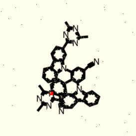 Cc1nc(C)nc(-c2ccc3c4ccccc4n(-c4cc(C#N)cc(-n5c6ccccc6c6ccc(-c7nc(C)nc(C)n7)cc65)c4-c4cccc(C#N)c4)c3c2)n1